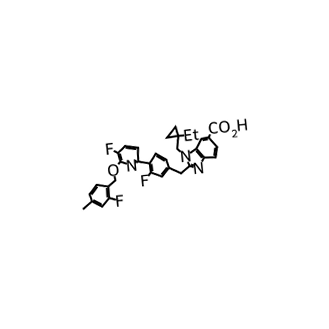 CCC1(Cn2c(Cc3ccc(-c4ccc(F)c(OCc5ccc(C)cc5F)n4)c(F)c3)nc3ccc(C(=O)O)cc32)CC1